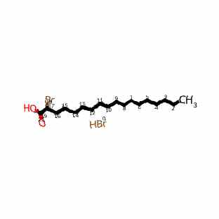 Br.CCCCCCCCCCCCCCCCC(Br)C(=O)O